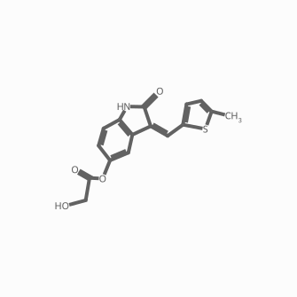 Cc1ccc(C=C2C(=O)Nc3ccc(OC(=O)CO)cc32)s1